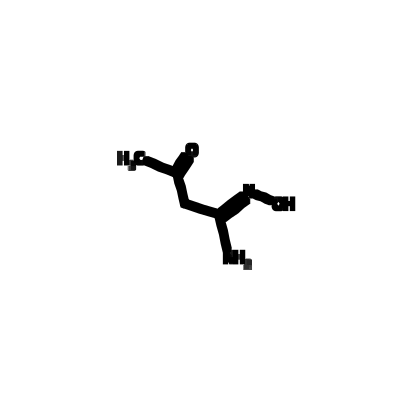 CC(=O)CC(N)=NO